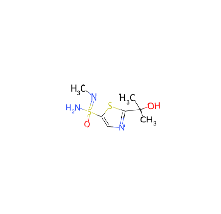 CN=S(N)(=O)c1cnc(C(C)(C)O)s1